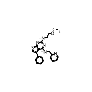 COCCNc1nc(NCc2ccccn2)c2c(-c3ccccc3)csc2n1